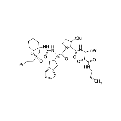 C=CCNC(=O)C(=O)C(CCC)NC(=O)C1C(C(C)(C)C)CCN1C(=O)[C@@H](NC(=O)NC1(CS(=O)(=O)CCC(C)C)CCCCC1)C1Cc2ccccc2C1